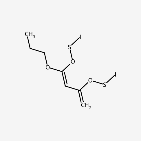 C=C(/C=C(/OCCC)OSI)OSI